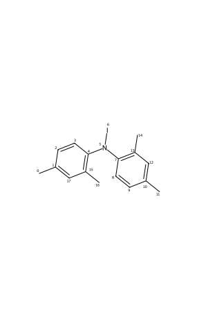 Cc1ccc(N(I)c2ccc(C)cc2C)c(C)c1